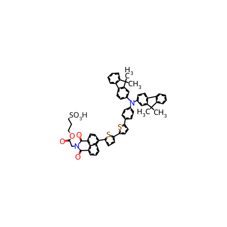 CC1(C)c2ccccc2-c2ccc(N(c3ccc(-c4ccc(-c5ccc(-c6ccc7c8c(cccc68)C(=O)N(CC(=O)OCCCS(=O)(=O)O)C7=O)s5)s4)cc3)c3ccc4c(c3)C(C)(C)c3ccccc3-4)cc21